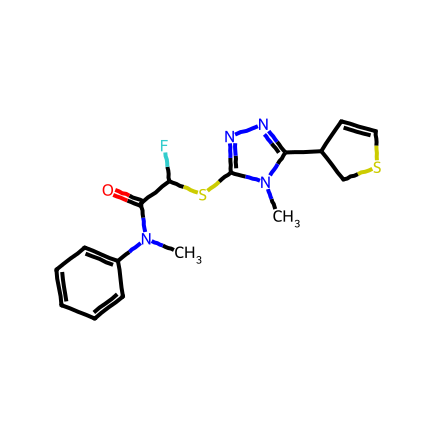 CN(C(=O)C(F)Sc1nnc(C2C=CSC2)n1C)c1ccccc1